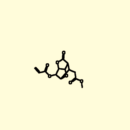 C=CC(=O)OC1C2OC3C1OC(=O)C3C2CC(=O)OC